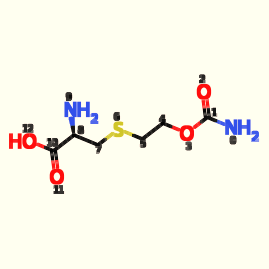 NC(=O)OCCSC[C@H](N)C(=O)O